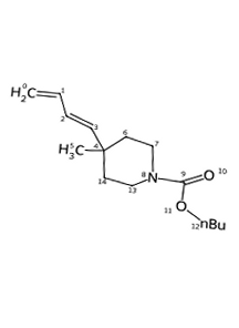 C=C/C=C/C1(C)CCN(C(=O)OCCCC)CC1